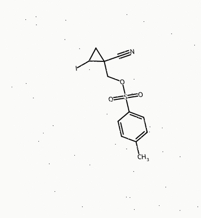 Cc1ccc(S(=O)(=O)OCC2(C#N)CC2I)cc1